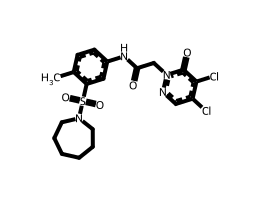 Cc1ccc(NC(=O)Cn2ncc(Cl)c(Cl)c2=O)cc1S(=O)(=O)N1CCCCCC1